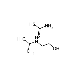 CC(C)NCCO.NC(=S)S